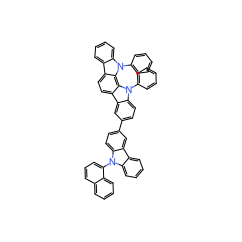 c1ccc(-n2c3ccccc3c3ccc4c5cc(-c6ccc7c(c6)c6ccccc6n7-c6cccc7ccccc67)ccc5n(-c5ccccc5)c4c32)cc1